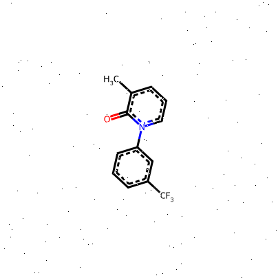 Cc1cccn(-c2cccc(C(F)(F)F)c2)c1=O